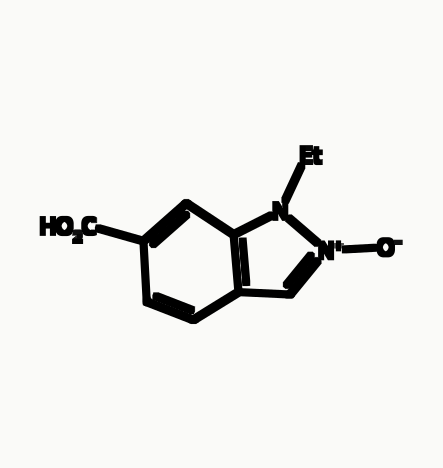 CCn1c2cc(C(=O)O)ccc2c[n+]1[O-]